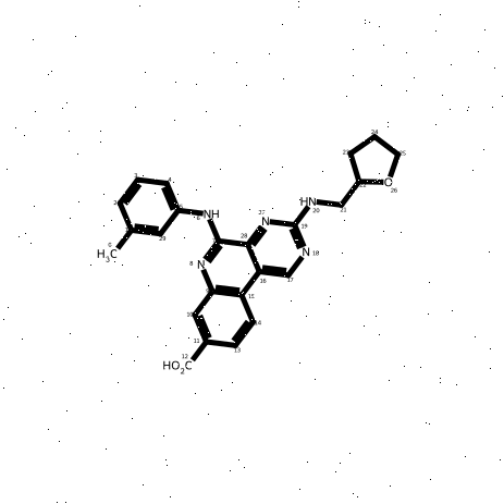 Cc1cccc(Nc2nc3cc(C(=O)O)ccc3c3cnc(NCC4CCCO4)nc23)c1